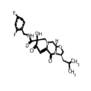 CC(C)C[C@@H]1CO[C@H]2CN3CC(O)(C(=O)NCc4ccc(F)cc4F)C(=O)C=C3C(=O)N12